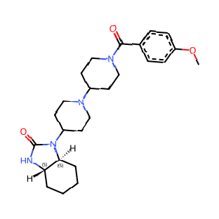 COc1ccc(C(=O)N2CCC(N3CCC(N4C(=O)N[C@H]5CCCC[C@@H]54)CC3)CC2)cc1